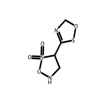 O=S1(=O)ONCC1C1=NCOS1